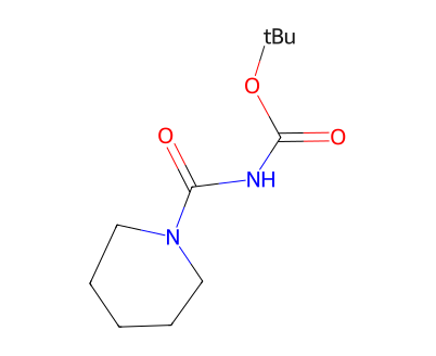 CC(C)(C)OC(=O)NC(=O)N1CCCCC1